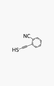 N#Cc1ccccc1C#CS